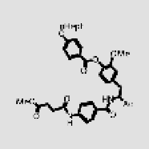 CCCCCCCOc1ccc(C(=O)Oc2ccc(CC(NC(=O)c3ccc(NC(=O)CCC(=O)OC)cc3)C(C)=O)cc2OC)cc1